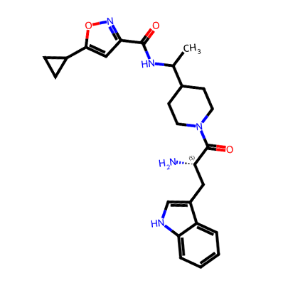 CC(NC(=O)c1cc(C2CC2)on1)C1CCN(C(=O)[C@@H](N)Cc2c[nH]c3ccccc23)CC1